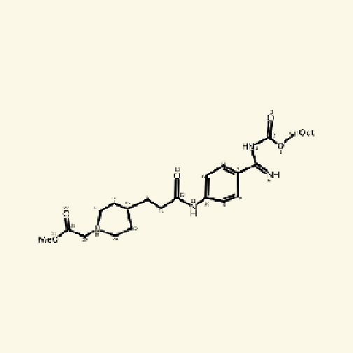 CCCCCCCCOC(=O)NC(=N)c1ccc(NC(=O)CCC2CCN(CC(=O)OC)CC2)cc1